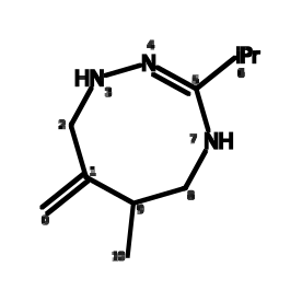 C=C1CN/N=C(/C(C)C)NCC1C